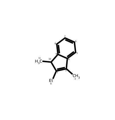 CCC1=C(C)c2ccccc2[C]1C